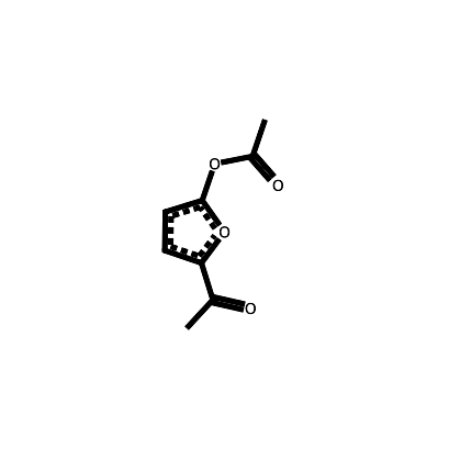 CC(=O)Oc1ccc(C(C)=O)o1